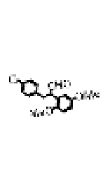 COc1ccc(OC)c(C(C=O)Cc2ccc(Cl)cc2)c1